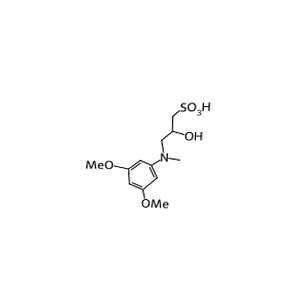 COc1cc(OC)cc(N(C)CC(O)CS(=O)(=O)O)c1